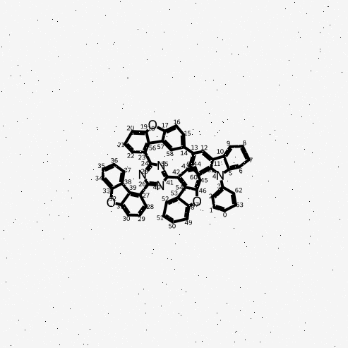 c1ccc(-n2c3ccccc3c3cc(-c4ccc5oc6cccc(-c7nc(-c8cccc9oc%10ccccc%10c89)nc(-c8cccc9oc%10ccccc%10c89)n7)c6c5c4)ccc32)cc1